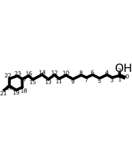 C=C(O)CCCCCCCCCCCCCCC1CCC(C)CC1